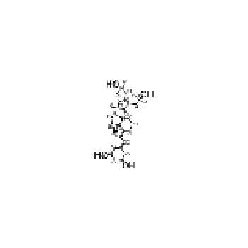 CC(C)(O)CCCC(C)(CCCC(C)(C)O)[C@H]1CC[C@H]2/C(=C/C=C3\CC(O)C[C@H](O)C3)CCC[C@]12C